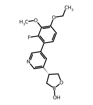 CCOc1ccc(-c2cncc([C@@H]3COB(O)C3)c2)c(F)c1OC